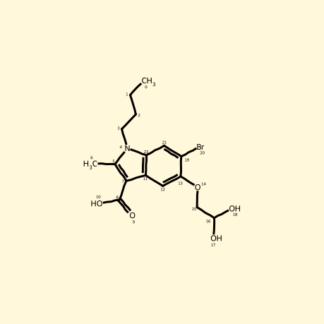 CCCCn1c(C)c(C(=O)O)c2cc(OCC(O)O)c(Br)cc21